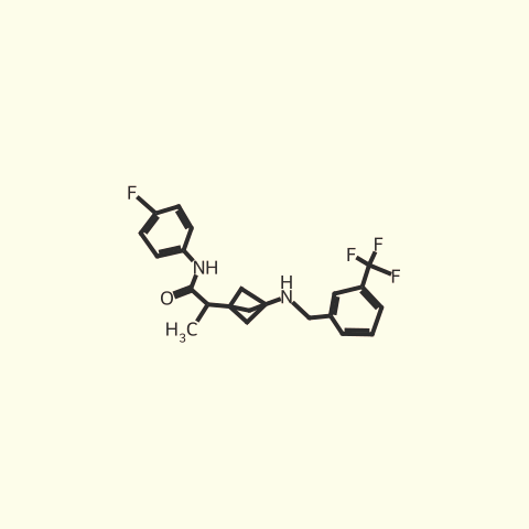 CC(C(=O)Nc1ccc(F)cc1)C12CC(NCc3cccc(C(F)(F)F)c3)(C1)C2